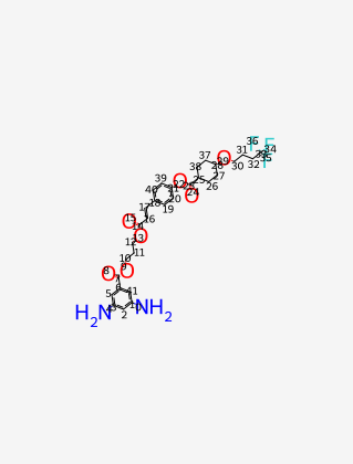 Nc1cc(N)cc(C(=O)OCCCOC(=O)C=Cc2ccc(OC(=O)C3CCC(OCCCC(F)(F)F)CC3)cc2)c1